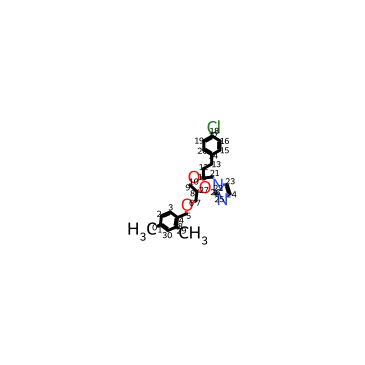 Cc1ccc(COCC2COC(CCc3ccc(Cl)cc3)(Cn3ccnc3)O2)c(C)c1